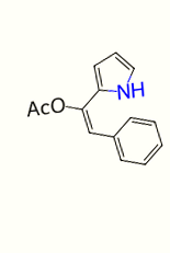 CC(=O)OC(=Cc1ccccc1)c1ccc[nH]1